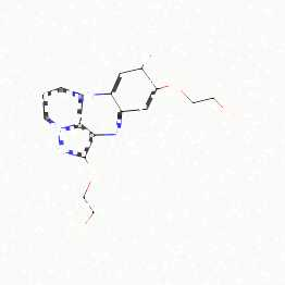 NC1=CC(N)C(OCCO)=C/C1=N/c1c(OCCO)nn2ccccc12